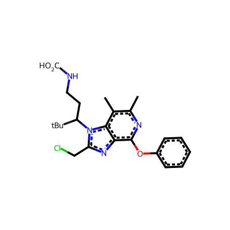 Cc1nc(Oc2ccccc2)c2nc(CCl)n(C(CCNC(=O)O)C(C)(C)C)c2c1C